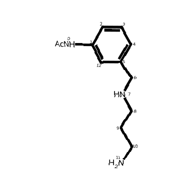 CC(=O)Nc1cccc(CNCCCN)c1